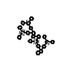 c1ccc(-c2cc(-c3ccccc3)nc(-c3ccc(-c4ccc5ccccc5c4-c4ccc(-c5nc(-c6ccccc6)nc(-c6ccccc6-c6cccc7c(-c8ccc(-c9nc(-c%10ccccc%10)nc(-c%10ccccc%10)n9)cc8)c(-c8ccc(-c9cc(-c%10ccccc%10)nc(-c%10ccccc%10)c9)cc8)ccc67)n5)cc4)cc3)c2)cc1